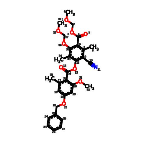 COCOC(=O)c1c(C)c(C#N)c(OC(=O)c2c(C)cc(OCc3ccccc3)cc2OC)c(C)c1OCOC